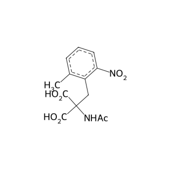 CC(=O)NC(Cc1c(C)cccc1[N+](=O)[O-])(C(=O)O)C(=O)O